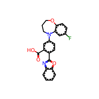 O=C(O)c1cc(N2CCCOc3ccc(F)cc32)ccc1-c1nc2ccccc2o1